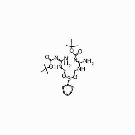 CC(C)(C)OC(=O)N=C(N)NCOB(OCNC(N)=NC(=O)OC(C)(C)C)c1ccccc1